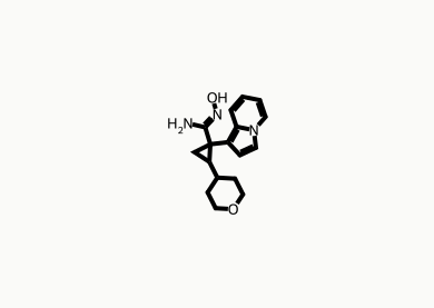 NC(=NO)C1(c2ccn3ccccc23)CC1C1CCOCC1